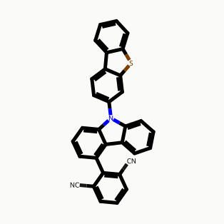 N#Cc1cccc(C#N)c1-c1cccc2c1c1ccccc1n2-c1ccc2c(c1)sc1ccccc12